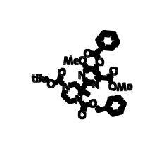 COC(=O)c1nc(C2(C)CN(C(=O)OC(C)(C)C)CCN2C(=O)OCc2ccccc2)nc(OC)c1OC(=O)c1ccccc1